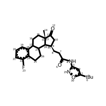 CC(C)(C)c1cc(NC(=O)CC[C@@H]2CC(=O)[C@@]3(C)CCC4c5cccc(F)c5CCC4C23)no1